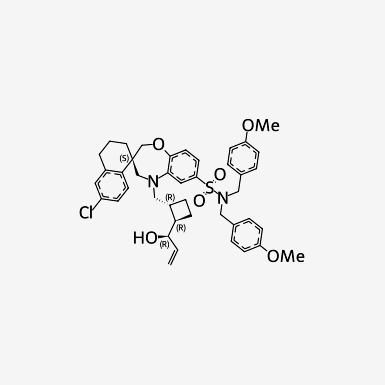 C=C[C@@H](O)[C@@H]1CC[C@H]1CN1C[C@@]2(CCCc3cc(Cl)ccc32)COc2ccc(S(=O)(=O)N(Cc3ccc(OC)cc3)Cc3ccc(OC)cc3)cc21